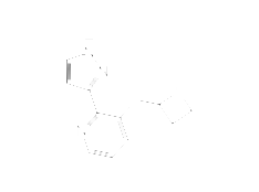 c1cnc(-c2cc[nH]n2)c(OC2CCS2)c1